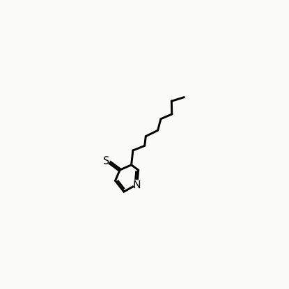 CCCCCCCCC1C=NC=CC1=S